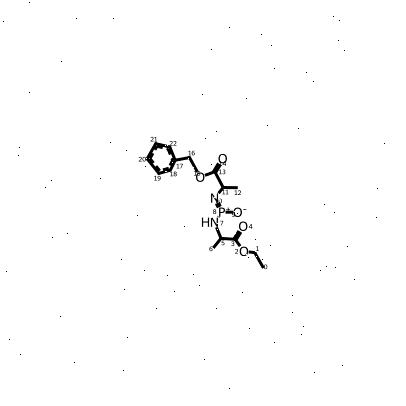 CCOC(=O)C(C)N/[P+]([O-])=N/C(C)C(=O)OCc1ccccc1